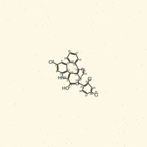 O=C(O)c1[nH]c2cc(Cl)ccc2c1-c1c(-c2ccccc2)ncn1Cc1ccc(Cl)cc1Cl